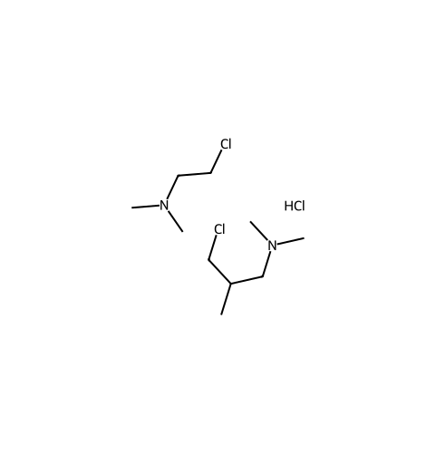 CC(CCl)CN(C)C.CN(C)CCCl.Cl